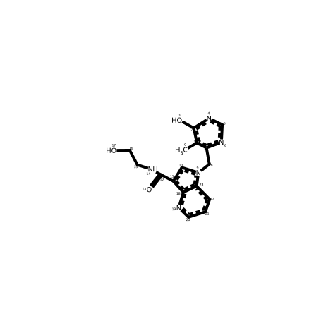 Cc1c(O)ncnc1Cn1cc(C(=O)NCCO)c2ncccc21